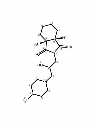 CN1CCN(CC(O)CN2C(=O)[C@H]3CCCC[C@H]3C2=O)CC1